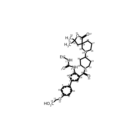 CCNC(=O)Nc1sc(-c2ccc(OCC(=O)O)cc2)cc1C(=O)N1CCC(N2CCCC3(C2)CC(C)(C)OC3=O)CC1